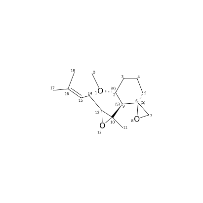 CO[C@@H]1CCC[C@@]2(CO2)[C@H]1C1(C)OC1CC=C(C)C